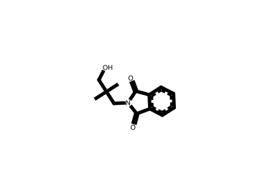 CC(C)(CO)CN1C(=O)c2ccccc2C1=O